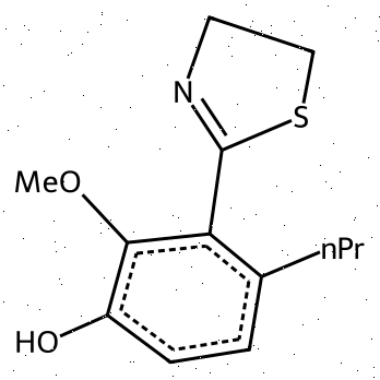 CCCc1ccc(O)c(OC)c1C1=NCCS1